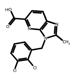 Cc1nc2ccc(C(=O)O)nc2n1Cc1cccc(Cl)c1Cl